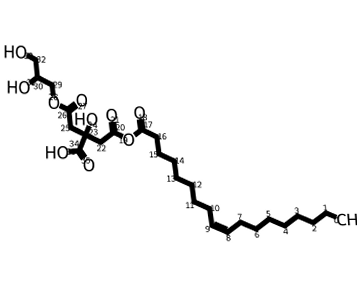 CCCCCCCC/C=C\CCCCCCCC(=O)OC(=O)CC(O)(CC(=O)OCC(O)CO)C(=O)O